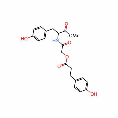 COC(=O)C(Cc1ccc(O)cc1)NC(=O)COC(=O)CCc1ccc(O)cc1